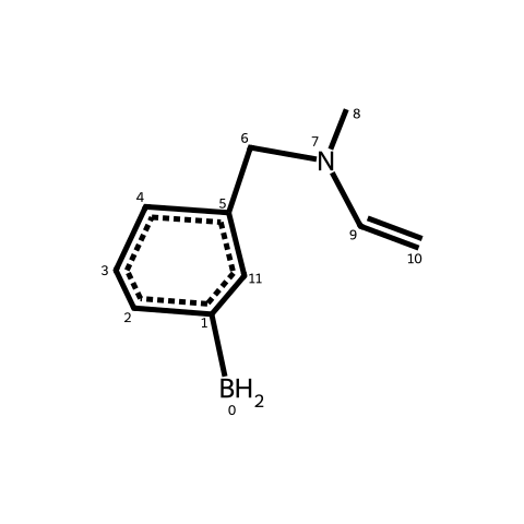 Bc1cccc(CN(C)C=C)c1